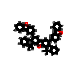 CC1(C)c2ccccc2-c2c(-c3ccc4oc5ccccc5c4c3)cc3c(oc4c5c(c(-c6ccc7oc8ccccc8c7c6)cc43)-c3ccccc3C5(C)C)c21